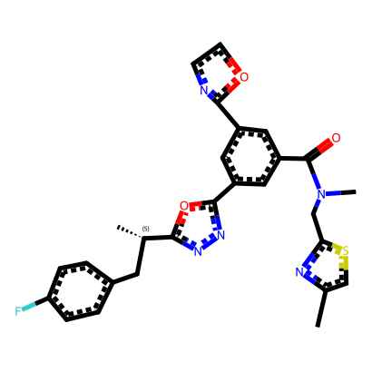 Cc1csc(CN(C)C(=O)c2cc(-c3ncco3)cc(-c3nnc([C@@H](C)Cc4ccc(F)cc4)o3)c2)n1